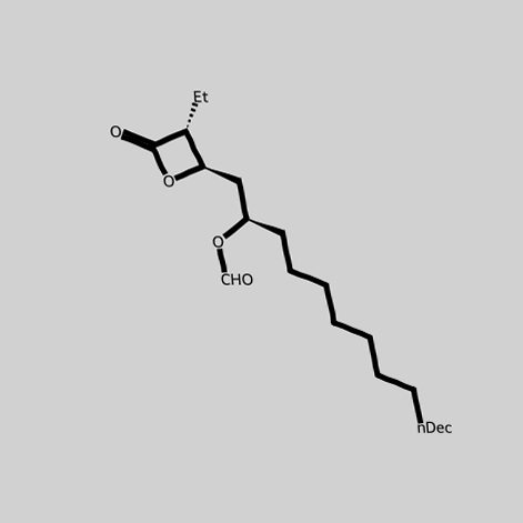 CCCCCCCCCCCCCCCCC[C@H](C[C@H]1OC(=O)[C@@H]1CC)OC=O